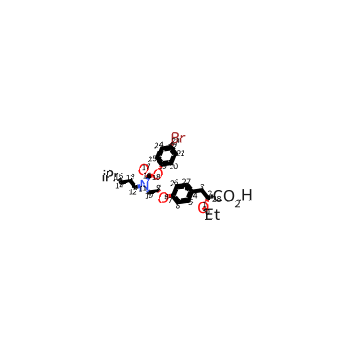 CCOC(Cc1ccc(OCCN(CCCC(C)C)C(=O)Oc2ccc(Br)cc2)cc1)C(=O)O